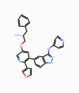 N[C@@H](COc1cnc(-c2ccoc2)c(-c2ccc3[nH]nc(Nc4ccncc4)c3c2)c1)Cc1ccccc1